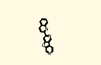 c1ccc2nc(-c3cc4oc5cnccc5c4cn3)ccc2c1